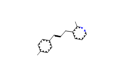 FC(F)(F)c1ccc(C=CCc2c[c]cnc2C(F)(F)F)cc1